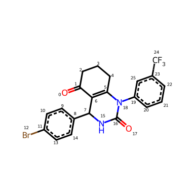 O=C1CCCC2=C1C(c1ccc(Br)cc1)NC(=O)N2c1cccc(C(F)(F)F)c1